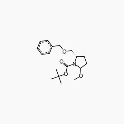 COC1CC[C@@H](COCc2ccccc2)N1C(=O)OC(C)(C)C